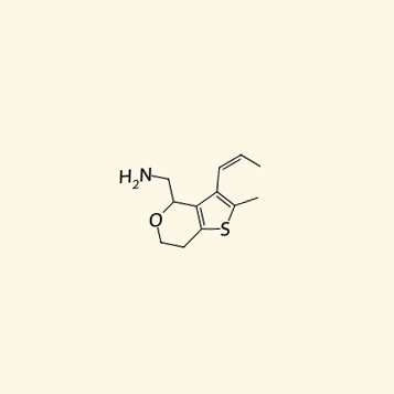 C/C=C\c1c(C)sc2c1C(CN)OCC2